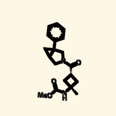 COC(=O)N[C@]1(C)C[C@H](C(=O)N2CC3CC3(c3ccccc3)C2)C1